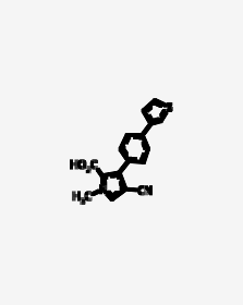 Cn1cc(C#N)c(-c2ccc(-c3ccsc3)cc2)c1C(=O)O